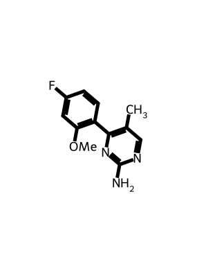 COc1cc(F)ccc1-c1nc(N)ncc1C